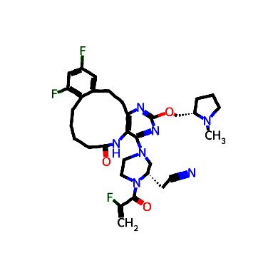 C=C(F)C(=O)N1CCN(c2nc(OC[C@@H]3CCCN3C)nc3c2NC(=O)CCCCc2c(F)cc(F)cc2CC3)C[C@@H]1CC#N